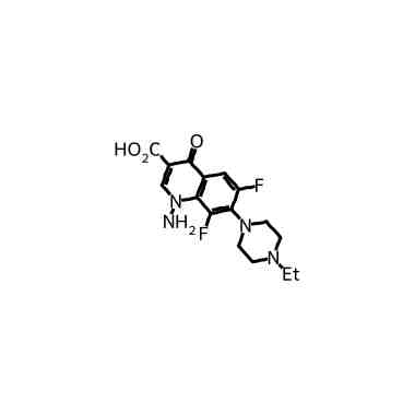 CCN1CCN(c2c(F)cc3c(=O)c(C(=O)O)cn(N)c3c2F)CC1